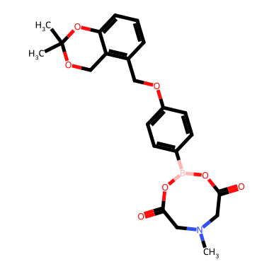 CN1CC(=O)OB(c2ccc(OCc3cccc4c3COC(C)(C)O4)cc2)OC(=O)C1